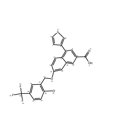 O=C(O)c1cc(-c2ccsc2)c2ccc(OCc3cc(C(F)(F)F)ccc3Cl)cc2c1